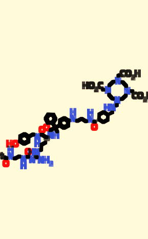 CCC(=O)NCCNC(=O)/N=C(/N)NCCC[C@@H](NC(=O)C(C)(c1ccccc1)c1ccc(NCCCNC(=O)[C@H]2CC[C@H](CNCN3CCN(CC(=O)O)CCN(CC(=O)O)CCN(CC(=O)O)CC3)CC2)cc1)C(=O)NCc1ccc(O)cc1